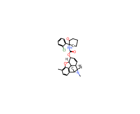 Cc1ccc2c3c1O[C@H]1[C@@H](OC(=O)NC4(c5ccccc5Cl)CCCCC4=O)C=C[C@H]4[C@@H]5N(C)[C@@]25C[C@@]341